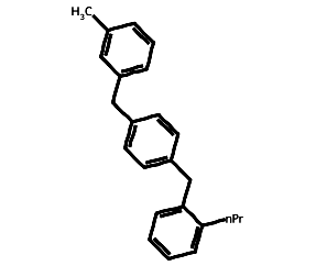 CCCc1ccccc1Cc1ccc(Cc2cccc(C)c2)cc1